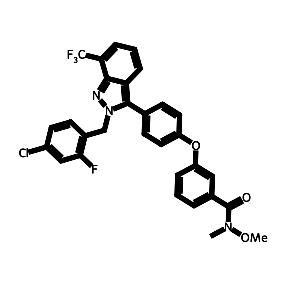 CON(C)C(=O)c1cccc(Oc2ccc(-c3c4cccc(C(F)(F)F)c4nn3Cc3ccc(Cl)cc3F)cc2)c1